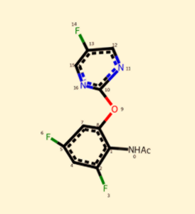 CC(=O)Nc1c(F)cc(F)cc1Oc1ncc(F)cn1